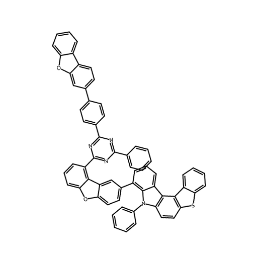 c1ccc(-c2nc(-c3ccc(-c4ccc5c(c4)oc4ccccc45)cc3)nc(-c3cccc4oc5ccc(-c6cccc7c8c9c(ccc8n(-c8ccccc8)c67)sc6ccccc69)cc5c34)n2)cc1